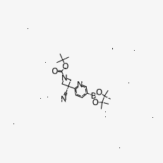 CC(C)(C)OC(=O)N1CC(C#N)(c2ccc(B3OC(C)(C)C(C)(C)O3)cn2)C1